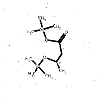 C[C@H](CC(=O)O[Si](C)(C)C)O[Si](C)(C)C